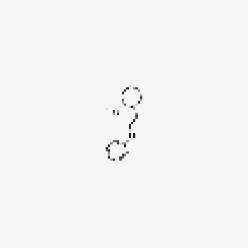 CO[C]1CCCCC1CCOc1ccccc1